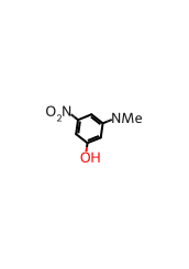 CNc1cc(O)cc([N+](=O)[O-])c1